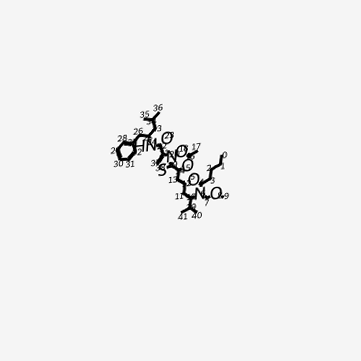 CCCCC(=O)N(COC)C(CCCC(OC(C)=O)c1nc(C(=O)NC(Cc2ccccc2)CC(C)C)cs1)C(C)C